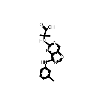 Cc1cccc(Nc2ncnc3cnc(NC(C)(C)C(=O)O)nc23)c1